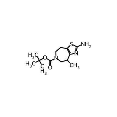 CC1CN(C(=O)OC(C)(C)C)CCc2sc(N)nc21